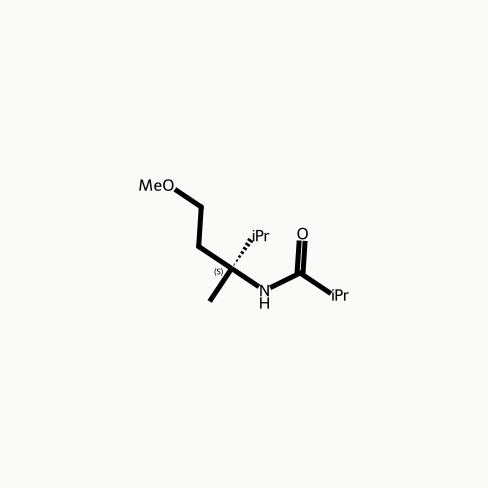 COCC[C@](C)(NC(=O)C(C)C)C(C)C